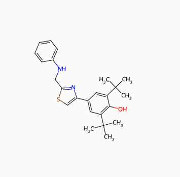 CC(C)(C)c1cc(-c2csc(CNc3ccccc3)n2)cc(C(C)(C)C)c1O